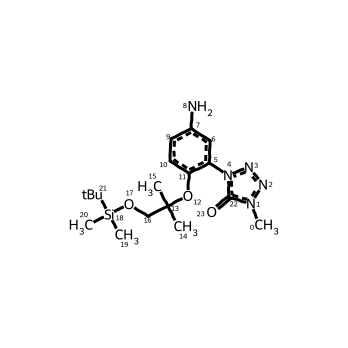 Cn1nnn(-c2cc(N)ccc2OC(C)(C)CO[Si](C)(C)C(C)(C)C)c1=O